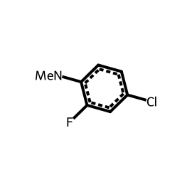 CNc1ccc(Cl)cc1F